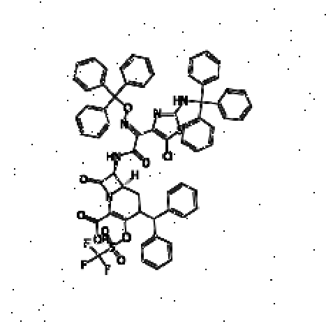 O=C(O)C1=C(OS(=O)(=O)C(F)(F)F)C(C(c2ccccc2)c2ccccc2)C[C@@H]2[C@H](NC(=O)C(=NOC(c3ccccc3)(c3ccccc3)c3ccccc3)c3nc(NC(c4ccccc4)(c4ccccc4)c4ccccc4)sc3Cl)C(=O)N12